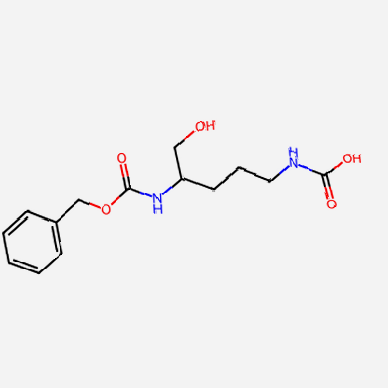 O=C(O)NCCCC(CO)NC(=O)OCc1ccccc1